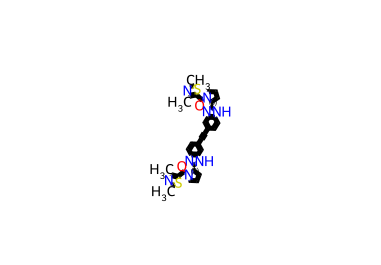 Cc1nc(C)c(C(=O)N2CCC[C@H]2c2nc3cc(C#Cc4ccc5nc([C@@H]6CCCN6C(=O)c6sc(C)nc6C)[nH]c5c4)ccc3[nH]2)s1